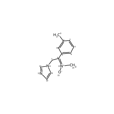 Cc1cccc(/C(Cn2ccnc2)=[N+](\C)[O-])c1